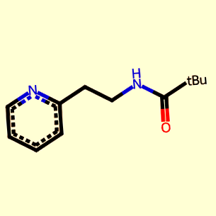 CC(C)(C)C(=O)NCCc1ccccn1